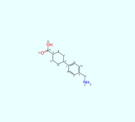 NCc1ccc(C2CCC(C(=O)O)CC2)cc1